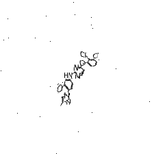 COc1cc(Nc2nccc(Oc3cccc(Cl)c3Cl)n2)ccc1-n1cnc(C)c1